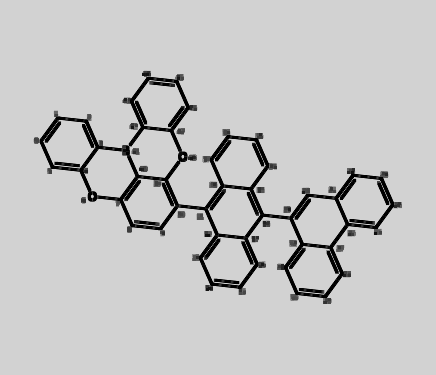 c1ccc2c(c1)Oc1ccc(-c3c4ccccc4c(-c4cc5ccccc5c5ccccc45)c4ccccc34)c3c1B2c1ccccc1O3